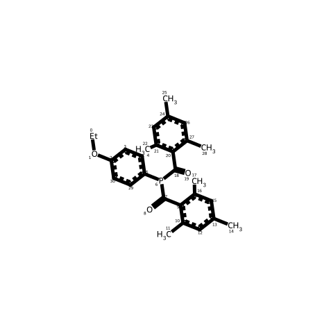 CCOc1ccc(P(C(=O)c2c(C)cc(C)cc2C)C(=O)c2c(C)cc(C)cc2C)cc1